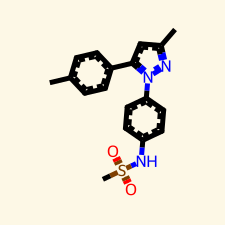 Cc1ccc(-c2cc(C)nn2-c2ccc(NS(C)(=O)=O)cc2)cc1